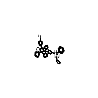 N#Cc1ccc(-c2cc3c(c4c2oc2ccccc24)-c2ccccc2C3(c2ccccc2)c2ccc(-c3nc(-c4ccccc4)nc(-c4ccccc4)n3)cc2)cc1